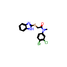 CN(C(=O)CSc1nc2ccccc2[nH]1)c1ccc(Br)c(Cl)c1